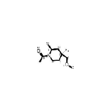 COC[C@@]1(C)CCN(C(C)=O)C(C)C1